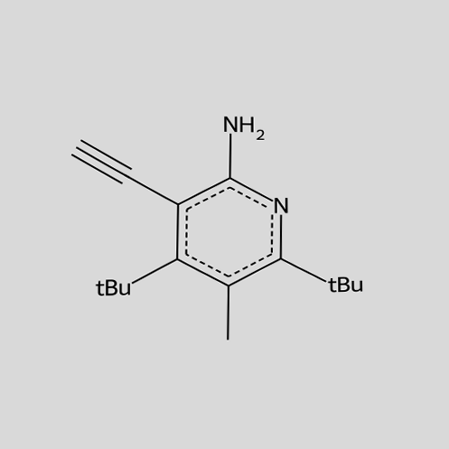 C#Cc1c(N)nc(C(C)(C)C)c(C)c1C(C)(C)C